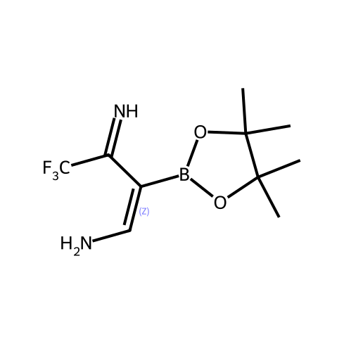 CC1(C)OB(/C(=C/N)C(=N)C(F)(F)F)OC1(C)C